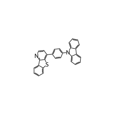 c1ccc2c(c1)sc1c(-c3ccc(-n4c5ccccc5c5ccccc54)cc3)ccnc12